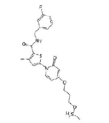 C[SiH2]OCCCOc1ccn(-c2cc(C)c(C(=O)NCc3cccc(F)c3)s2)c(=O)c1